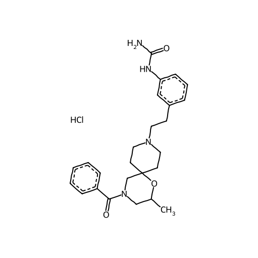 CC1CN(C(=O)c2ccccc2)CC2(CCN(CCc3cccc(NC(N)=O)c3)CC2)O1.Cl